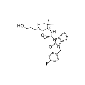 CC(C)(C)[C@H](NC(=O)n1c(=O)n(Cc2ccc(F)cc2)c2ccccc21)C(=O)NCCCO